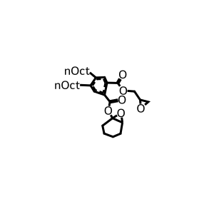 CCCCCCCCc1cc(C(=O)OCC2CO2)c(C(=O)OC23CCCCC2O3)cc1CCCCCCCC